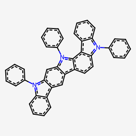 c1ccc(-n2c3ccccc3c3cc4c5ccc6c(c7ccccc7n6-c6ccccc6)c5n(-c5ccccc5)c4cc32)cc1